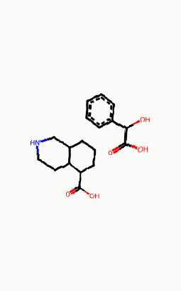 O=C(O)C(O)c1ccccc1.O=C(O)C1CCCC2CNCCC21